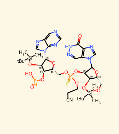 CC(C)(C)[Si](C)(C)O[C@@H]1[C@H](O[PH](=O)O)[C@@H](COP(=S)(OCCC#N)O[C@H]2C(n3cnc4c(=O)[nH]ncc43)O[C@H](CO)[C@H]2O[Si](C)(C)C(C)(C)C)O[C@H]1n1cnc2cncnc21